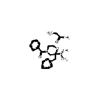 CCC(C)=O.CN(C)C1(Cc2ccccc2)CN(C(=O)c2ccccc2)CCO1